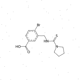 O=C(O)c1ccc(Br)c(CNC(=S)N2CCCC2)c1